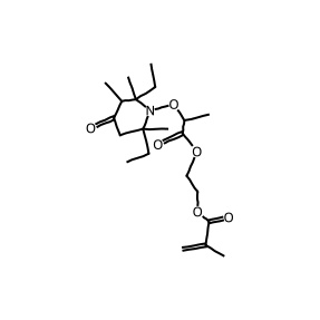 C=C(C)C(=O)OCCOC(=O)C(C)ON1C(C)(CC)CC(=O)C(C)C1(C)CC